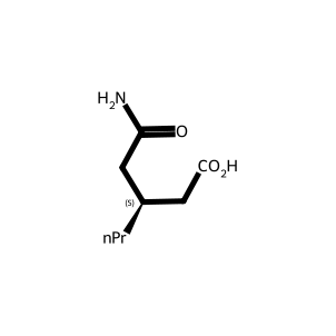 CCC[C@@H](CC(N)=O)CC(=O)O